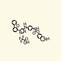 O=C(Nc1ccc(Nc2cc(-c3cccc4c3oc3ccccc34)ncn2)cc1)Oc1ccc2c(c1)CNCC2.O=C(O)C(F)(F)F